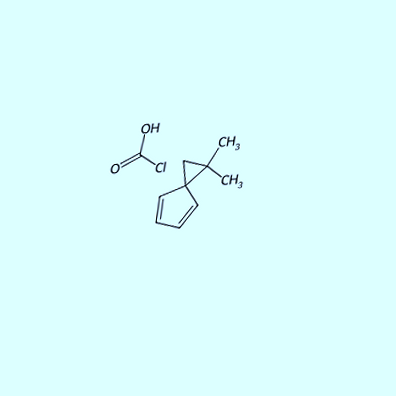 CC1(C)CC12C=CC=C2.O=C(O)Cl